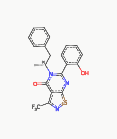 C[C@H](Cc1ccccc1)n1c(-c2ccccc2O)nc2snc(C(F)(F)F)c2c1=O